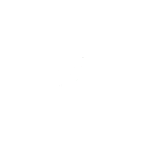 CCOC(=O)C(Cl)C(=O)CC